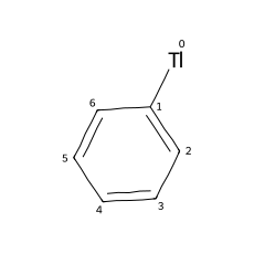 [Tl][c]1ccccc1